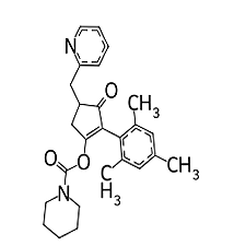 Cc1cc(C)c(C2=C(OC(=O)N3CCCCC3)CC(Cc3ccccn3)C2=O)c(C)c1